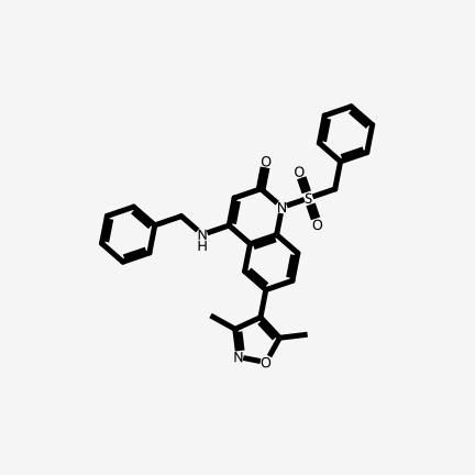 Cc1noc(C)c1-c1ccc2c(c1)c(NCc1ccccc1)cc(=O)n2S(=O)(=O)Cc1ccccc1